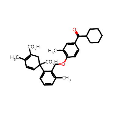 CC1=C(C(=O)O)CC(C(=O)O)(c2cccc(C)c2COc2ccc(C(=O)C3CCCCC3)cc2C)C=C1